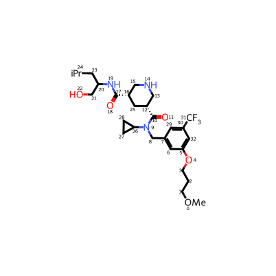 COCCCOc1cc(CN(C(=O)[C@H]2CNC[C@@H](C(=O)NC(CO)CC(C)C)C2)C2CC2)cc(C(F)(F)F)c1